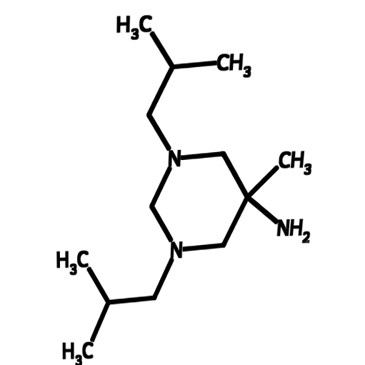 CC(C)CN1CN(CC(C)C)CC(C)(N)C1